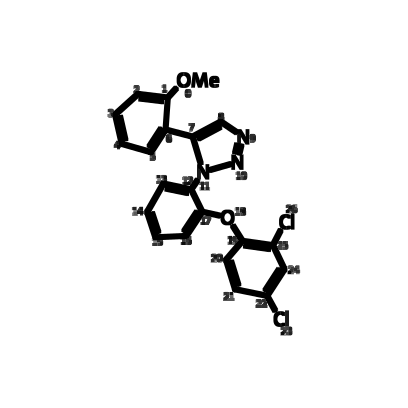 COc1ccccc1-c1cnnn1-c1ccccc1Oc1ccc(Cl)cc1Cl